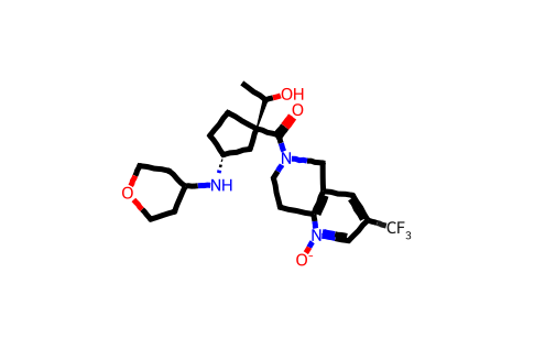 CC(O)[C@]1(C(=O)N2CCc3c(cc(C(F)(F)F)c[n+]3[O-])C2)CC[C@@H](NC2CCOCC2)C1